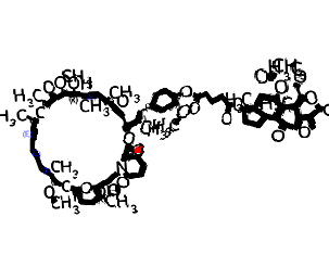 COC[C@H]1OC(=O)c2coc3c2[C@@]1(C)C1=C(C3=O)C2CC[C@H](OC(=O)CCCC(=O)O[C@@H]3CC[C@@H](C[C@@H](C)[C@@H]4CC(=O)[C@H](C)/C=C(\C)[C@@H](O)[C@@H](OC)C(=O)[C@H](C)C[C@H](C)/C=C/C=C/C=C(\C)[C@@H](OC)C[C@@H]5CC[C@@H](C)[C@@](O)(O5)C(=O)C(=O)N5CCCC[C@H]5C(=O)O4)C[C@H]3OC)[C@@]2(C)C[C@H]1OC(C)=O